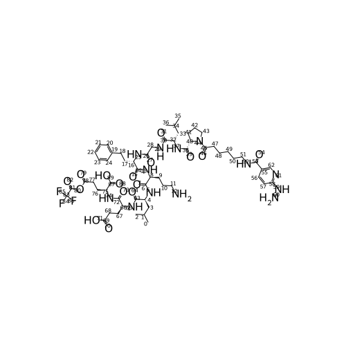 CC(C)C[C@H](NC(=O)[C@H](CCCN)NC(=O)[C@H](CCc1ccccc1)NC(=O)CNC(=O)[C@H](CC(C)C)NC(=O)[C@@H]1CCCN1C(=O)CCCCCNC(=O)c1ccc(NN)nc1)C(=O)N[C@@H](CCC(=O)O)C(=O)N[C@@H](CCC(=O)OC(=O)C(F)(F)F)C(=O)O